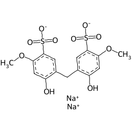 COc1cc(O)c(Cc2cc(S(=O)(=O)[O-])c(OC)cc2O)cc1S(=O)(=O)[O-].[Na+].[Na+]